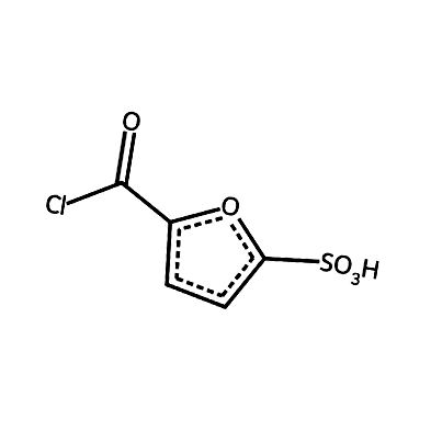 O=C(Cl)c1ccc(S(=O)(=O)O)o1